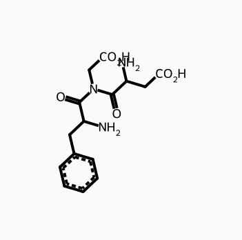 NC(CC(=O)O)C(=O)N(CC(=O)O)C(=O)C(N)Cc1ccccc1